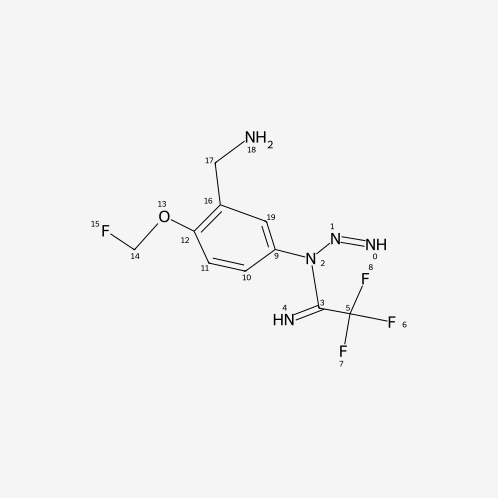 N=NN(C(=N)C(F)(F)F)c1ccc(OCF)c(CN)c1